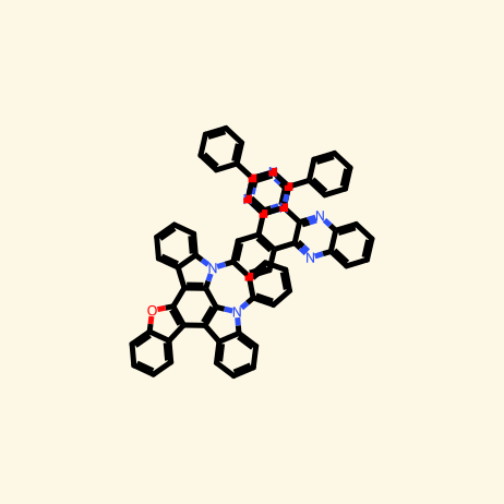 c1ccc(-c2nc(-c3ccccc3)nc(-c3cc(-n4c5ccccc5c5c6oc7ccccc7c6c6c7ccccc7n(-c7ccccc7)c6c54)ccc3-c3nc4ccccc4nc3-c3ccccc3)n2)cc1